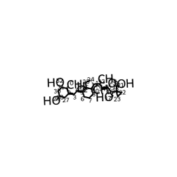 C=C1/C(=C\C=C2/CCC[C@]3(C)[C@@H]([C@H](C)/C=C/[C@@H](O)C4(C(=O)O)CC4)CC[C@@H]23)C[C@@H](O)C[C@@H]1O